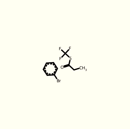 Brc1ccccc1.CCC(=O)SC(F)(F)F